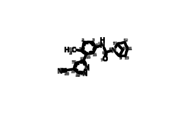 Cc1ccc(NC(=O)N2C3CCCC2C3)cc1-c1cc(C#N)cnn1